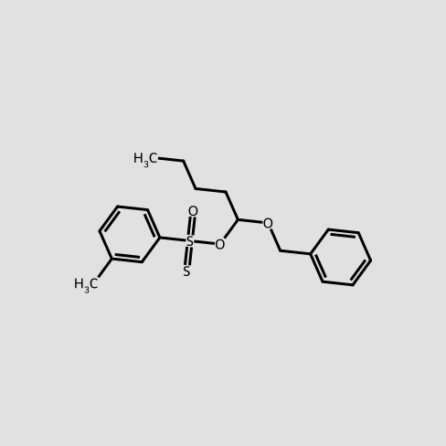 CCCCC(OCc1ccccc1)OS(=O)(=S)c1cccc(C)c1